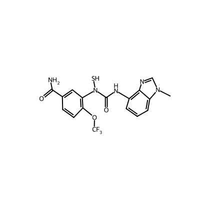 Cn1cnc2c(NC(=O)N(S)c3cc(C(N)=O)ccc3OC(F)(F)F)cccc21